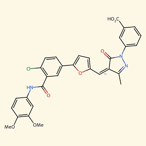 COc1ccc(NC(=O)c2cc(-c3ccc(/C=C4\C(=O)N(c5cccc(C(=O)O)c5)N=C4C)o3)ccc2Cl)cc1OC